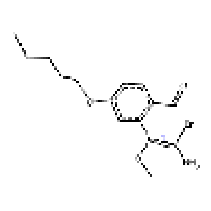 B/C(Br)=C(\OC)c1cc(OCCCCC)ccc1C=O